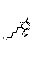 C=C.CC(=O)NC(CCCCN)C(=O)O